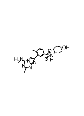 Cc1nc(N)n2cc(-c3cc(S(=O)(=O)N[C@H]4CC[C@](C)(O)CC4)ccc3C)nc2n1